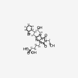 C#CCn1c(=O)c2c(nc(CCc3ccccc3Br)n2CCO)n(CCCCP(=O)(O)O)c1=O